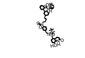 CC(C)(C)[Si](C)(C)O[C@@H](CNCc1ccc2c(c1)oc(=O)n2CC/C=C/c1ccc(N(C(=O)O)[C@H]2CN3CCC2CC3)c(-c2ccccc2)c1)c1ccc(O)c2[nH]c(=O)ccc12